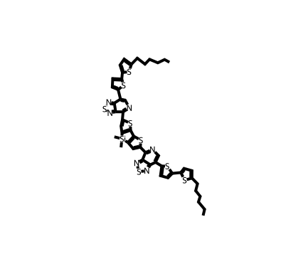 CCCCCCc1ccc(-c2ccc(-c3cnc(-c4cc5c(s4)-c4sc(-c6ncc(-c7ccc(-c8ccc(CCCCCC)s8)s7)c7nsnc67)cc4[Si]5(C)C)c4nsnc34)s2)s1